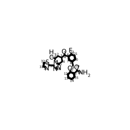 CC1CC(C(=O)c2cc(COc3ccccc3C(N)=O)ccc2F)Cc2nnc(-c3nccs3)n21